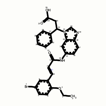 CCOc1ccc(Br)cc1/C=C/C(=O)Nc1ccc2ncn(C(CC(=O)O)c3ccccc3)c2c1